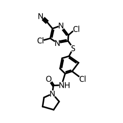 N#Cc1nc(Cl)c(Sc2ccc(NC(=O)N3CCCC3)c(Cl)c2)nc1Cl